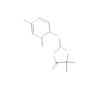 CC1(C(F)(F)F)SC(Nc2ccc(F)cc2F)=NC1=O